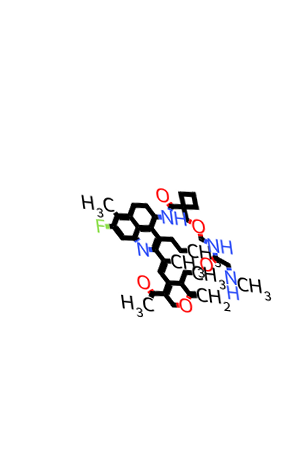 C=C1OCC(C(C)=O)=C(/C=C(\C)c2nc3cc(F)c(C)c4c3c(c2CCC)C(NC(=O)C2(COCNC(=O)CNC)CCC2)CC4)C1CC